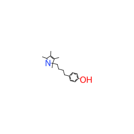 CC1=NC(C)(CCCCc2ccc(O)cc2)C(C)=C1C